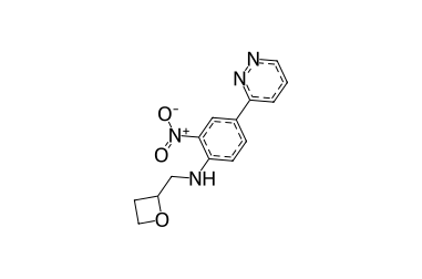 O=[N+]([O-])c1cc(-c2cccnn2)ccc1NCC1CCO1